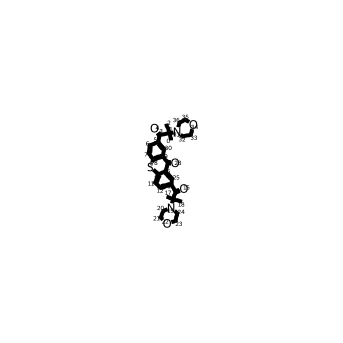 CC(C)(C(=O)c1ccc2sc3ccc(C(=O)C(C)(C)N4CCOCC4)cc3c(=O)c2c1)N1CCOCC1